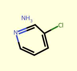 Clc1cccnc1.N